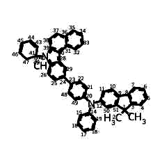 CC1(C)c2ccccc2-c2ccc(N(c3ccccc3)c3ccc(-c4ccc5c(c4)c4c6ccccc6ccc4n5[C@]4(C)C=CC=CC4)cc3)cc21